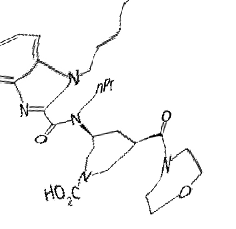 CCCN(C(=O)c1nc2ccccc2n1CCCCOC)[C@H]1C[C@@H](C(=O)N2CCOCC2)CN(C(=O)O)C1